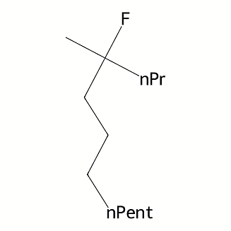 CCCCCCCCC(C)(F)CCC